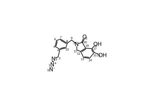 [N-]=[N+]=NCc1cccc(CN2Cc3ccc(O)c(O)c3C2=O)c1